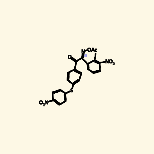 CC(=O)O/N=C(/C(=O)c1ccc(Sc2ccc([N+](=O)[O-])cc2)cc1)c1cccc([N+](=O)[O-])c1C